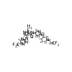 Cc1nsc(Nc2cnc(C(F)(F)F)cn2)c1C(=O)Nc1ccc(O[C@H]2CCCN(CCC(F)(F)F)C2)nc1